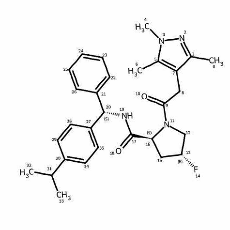 Cc1nn(C)c(C)c1CC(=O)N1C[C@H](F)C[C@H]1C(=O)N[C@@H](c1ccccc1)c1ccc(C(C)C)cc1